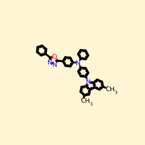 Cc1ccc2c(c1)c1cc(C)ccc1n2-c1ccc(N(c2ccccc2)c2ccc(-c3nnc(-c4ccccc4)o3)cc2)cc1